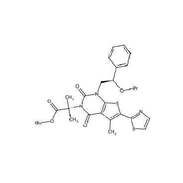 Cc1c(-c2nccs2)sc2c1c(=O)n(C(C)(C)C(=O)OC(C)(C)C)c(=O)n2C[C@H](OC(C)C)c1ccccc1